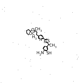 CC(c1ccc(N)c(S)c1)c1nc(-c2ccc(CCC(C)(C)OC3CCCCO3)cn2)cs1